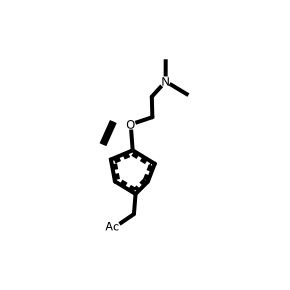 C=C.CC(=O)Cc1ccc(OCCN(C)C)cc1